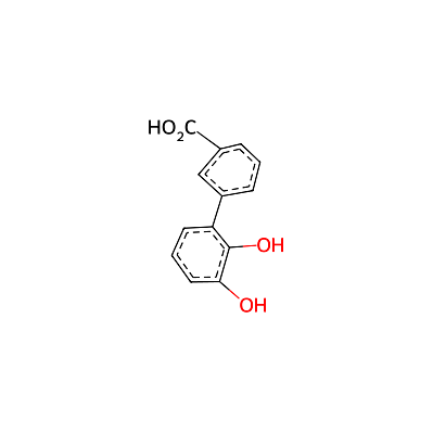 O=C(O)c1cccc(-c2cccc(O)c2O)c1